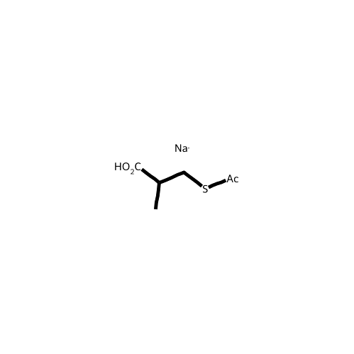 CC(=O)SCC(C)C(=O)O.[Na]